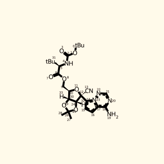 CC(C)(C)OC(=O)N[C@@H](C(=O)OC[C@H]1O[C@@](C#N)(c2ccc3c(N)ncnn23)[C@@H]2OC(C)(C)O[C@@H]21)C(C)(C)C